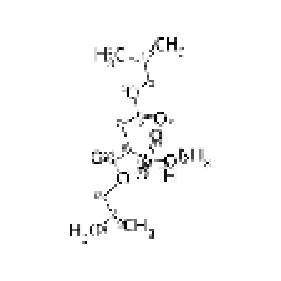 CC(C)COC(=O)CC(C(=O)OCC(C)C)S(=O)(=O)O.N